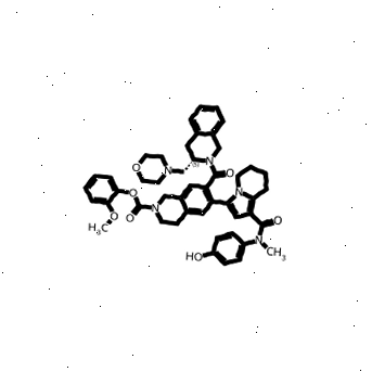 COc1ccccc1OC(=O)N1CCc2cc(-c3cc(C(=O)N(C)c4ccc(O)cc4)c4n3CCCC4)c(C(=O)N3Cc4ccccc4C[C@H]3CN3CCOCC3)cc2C1